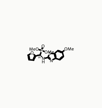 COc1ccc2nc(N[C@@H](c3ccco3)P(=O)(OC)OC)sc2c1